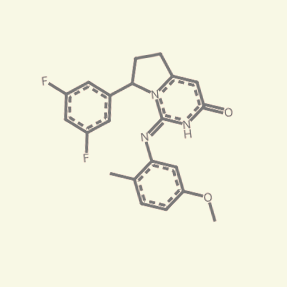 COc1ccc(C)c(/N=c2\[nH]c(=O)cc3n2C(c2cc(F)cc(F)c2)CC3)c1